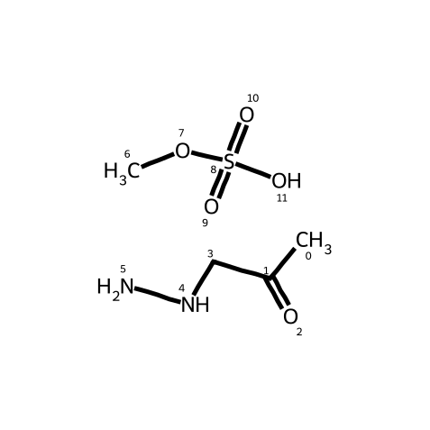 CC(=O)CNN.COS(=O)(=O)O